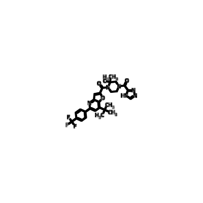 CC(C)(C)c1cc(-c2ccc(C(F)(F)F)cc2)nc2cc(C(=O)N3CCN(C(=O)c4nnc[nH]4)CC3(C)C)oc12